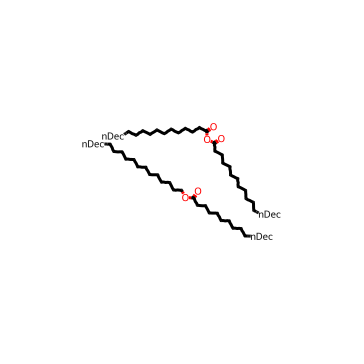 CCCCCCCCCCCCCCCCCCCCCC(=O)OC(=O)CCCCCCCCCCCCCCCCCCCCC.CCCCCCCCCCCCCCCCCCCCCCCOC(=O)CCCCCCCCCCCCCCCCCCC